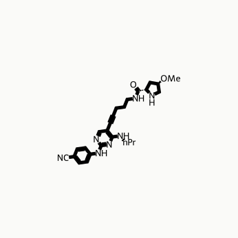 CCCNc1nc(Nc2ccc(C#N)cc2)ncc1C#CCCCNC(=O)[C@@H]1C[C@@H](OC)CN1